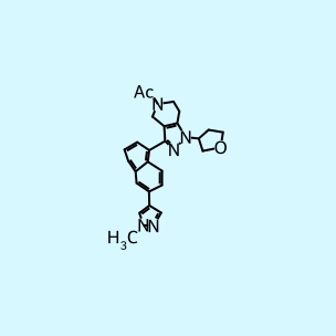 CC(=O)N1CCc2c(c(-c3cccc4cc(-c5cnn(C)c5)ccc34)nn2C2CCOC2)C1